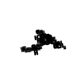 CC(=O)Nc1ccc2c(c1)CC[C@@]21OC(=O)N(CC(=O)N(Cc2ccc(F)cc2)[C@@H](C)CNC(=O)CCc2ccc(NC(=O)CCCCCC3CCC3)cc2)C1=O